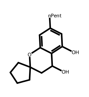 CCCCCc1cc(O)c2c(c1)OC1(CCCC1)CC2O